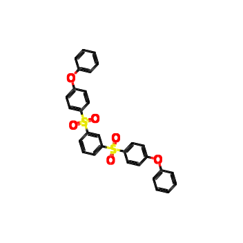 O=S(=O)(c1ccc(Oc2ccccc2)cc1)c1cccc(S(=O)(=O)c2ccc(Oc3ccccc3)cc2)c1